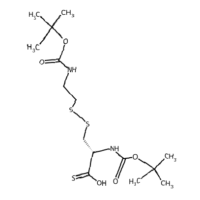 CC(C)(C)OC(=O)NCCSSC[C@H](NC(=O)OC(C)(C)C)C(O)=S